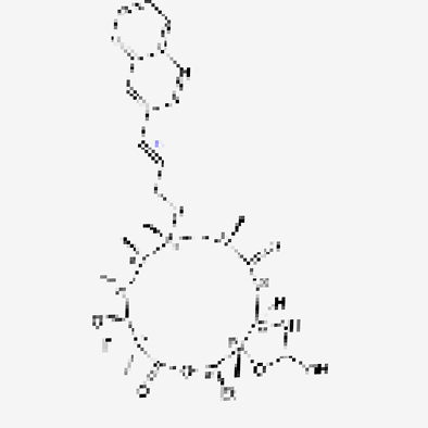 CC[C@H]1OC(=O)[C@@](C)(F)C(=O)[C@H](C)[C@@H](C)[C@](C)(OC/C=C/c2cnc3ccccc3c2)C[C@@H](C)C(=O)[C@H](C)[C@H]2NC(O)O[C@@]21C